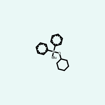 CC(C)(C)[Si](O[C]1CCCCC1)(c1ccccc1)c1ccccc1